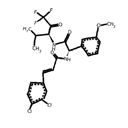 COc1cccc([C@H](NC(=O)/C=C/c2ccc(Cl)c(Cl)c2)C(=O)N[C@H](C(=O)C(F)(F)F)C(C)C)c1